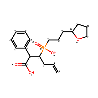 C=CCC(C(C(=O)O)c1ccccc1)P(=O)(O)CCCC1CCCO1